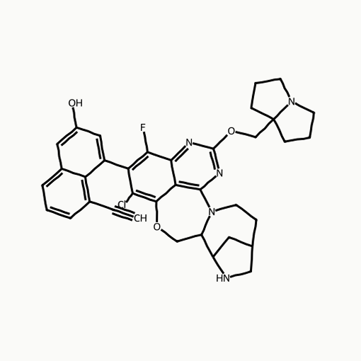 C#Cc1cccc2cc(O)cc(-c3c(Cl)c4c5c(nc(OCC67CCCN6CCC7)nc5c3F)N3CCC5CNC(C5)C3CO4)c12